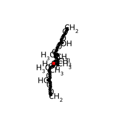 C=COCCOCC(O)COCCOC(C)(CC)COC(C)(CC)C(C)(F)CCOC(C)(C)CCOCC(O)COCCOC=C